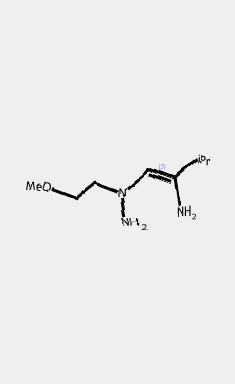 COCCN(N)/C=C(\N)C(C)C